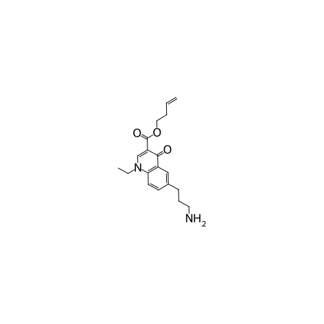 C=CCCOC(=O)c1cn(CC)c2ccc(CCCN)cc2c1=O